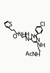 CC(=O)NCCNc1cc(NCCNC(=O)CCc2cccs2)nc(-c2ccc(Cl)cc2)n1